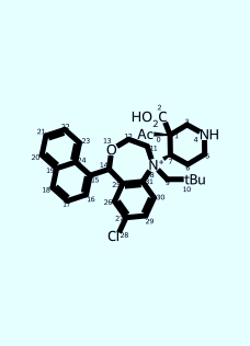 CC(=O)[C@@]1(C(=O)O)CNCC[C@H]1[N+]1(CC(C)(C)C)CCOC(c2cccc3ccccc23)c2cc(Cl)ccc21